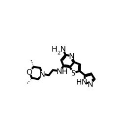 C[C@@H]1CN(CCNc2cc(N)nc3cc(-c4ccn[nH]4)sc23)C[C@H](C)O1